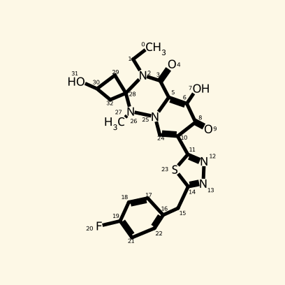 CCN1C(=O)c2c(O)c(=O)c(-c3nnc(Cc4ccc(F)cc4)s3)cn2N(C)C12CC(O)C2